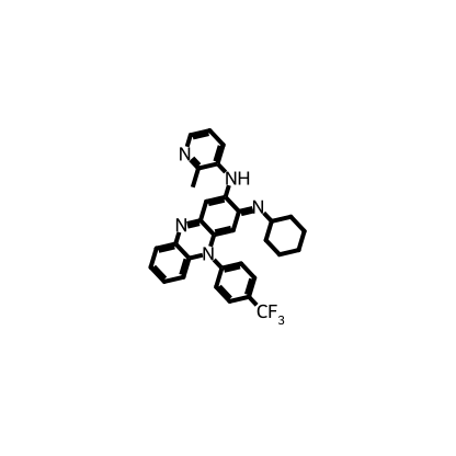 Cc1ncccc1Nc1cc2nc3ccccc3n(-c3ccc(C(F)(F)F)cc3)c-2c/c1=N\C1CCCCC1